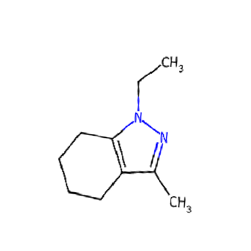 CCn1nc(C)c2c1CCCC2